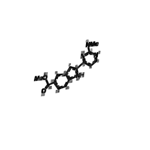 CNc1nccc(-c2cc3cc(C(=O)OC)ccc3[nH]2)n1